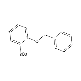 CCCCc1c[c]ccc1OCc1ccccc1